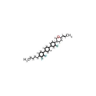 C/C=C/C1CCC(c2ccc(-c3ccc(-c4ccc(CCCCC)c(F)c4F)cc3)cc2F)CO1